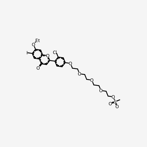 CCOc1cc2oc(-c3ccc(OCCOCCOCCOCCOS(C)(=O)=O)cc3Cl)cc(=O)c2cc1I